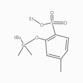 CCOS(=O)(=O)c1ccc(C)cc1O[Si](C)(C)C(C)(C)C